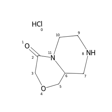 Cl.O=C1COCC2CNCCN12